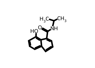 CC(C)NC(=O)c1cccc2cccc(O)c12